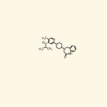 Cc1cnc(N2CCC(N3CC(=O)Nc4ccccc4C3)CC2)cc1[S+]([O-])C(C)C